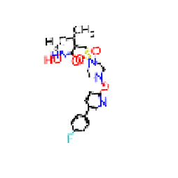 CC(C)C(CS(=O)(=O)N1CCN(Oc2ccc(-c3ccc(F)cc3)cn2)CC1)C(=O)NO